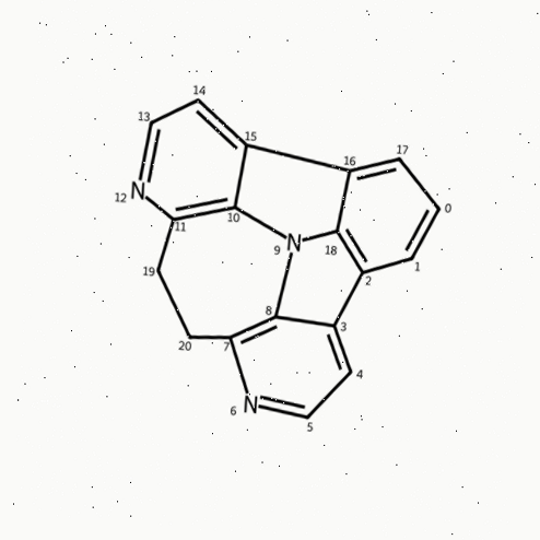 c1cc2c3ccnc4c3n3c5c(nccc5c(c1)c23)CC4